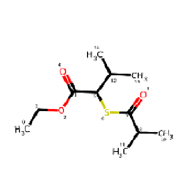 CCOC(=O)C(SC(=O)C(C)C)C(C)C